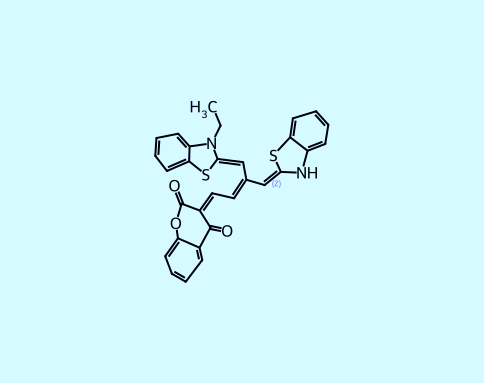 CCN1C(=CC(=CC=C2C(=O)Oc3ccccc3C2=O)/C=C2/Nc3ccccc3S2)Sc2ccccc21